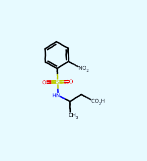 CC(CC(=O)O)NS(=O)(=O)c1ccccc1[N+](=O)[O-]